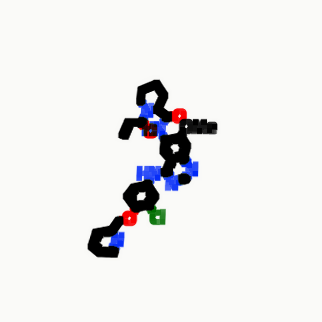 C=CC(=O)N1CCCCC1C(=O)Nc1cc2c(Nc3ccc(OCc4ccccn4)c(Cl)c3)ncnc2cc1OC